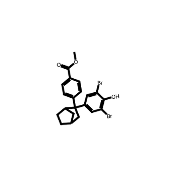 COC(=O)c1ccc(C2(c3cc(Br)c(O)c(Br)c3)CC3CCC2C3)cc1